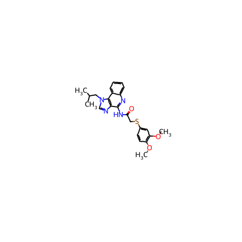 COc1ccc(SCC(=O)Nc2nc3ccccc3c3c2ncn3CC(C)C)cc1OC